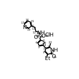 CCc1cc(-c2ccc(S(=O)(=O)NCCc3cccnc3)s2)c(C)[nH]c1=O.Cl